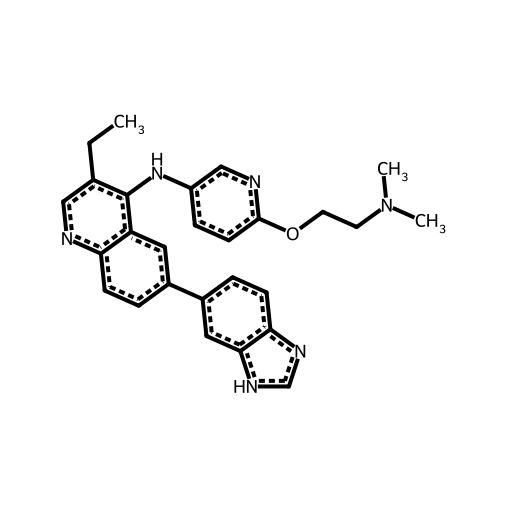 CCc1cnc2ccc(-c3ccc4nc[nH]c4c3)cc2c1Nc1ccc(OCCN(C)C)nc1